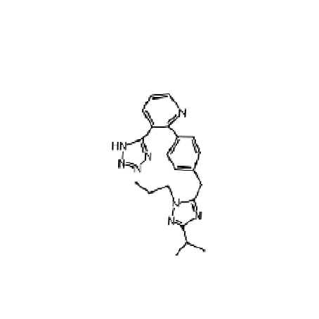 CCCn1nc(C(C)C)nc1Cc1ccc(-c2ncccc2-c2nnn[nH]2)cc1